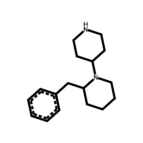 c1ccc(CC2CCCCN2C2CCNCC2)cc1